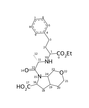 CCOC(=O)C(CCc1ccccc1)N[C@@H](C)C(=O)N1C(C(=O)O)CC2CCOCC21